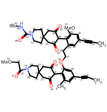 CC#Cc1cc(C)c(C2C(=O)CC3(CCN(C(=O)COC)CC3)CC2=O)c(OCCc2cc(C#CC)cc(OC)c2C2C(=O)CC3(CCN(C(=O)NC(C)(C)C)CC3)CC2=O)c1